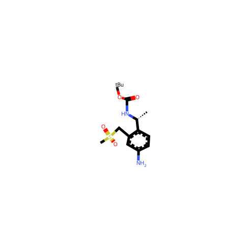 C[C@@H](NC(=O)OC(C)(C)C)c1ccc(N)cc1CS(C)(=O)=O